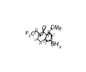 Bc1cc2c(c(OC)c1)C(=O)N(CC(F)(F)F)CC2